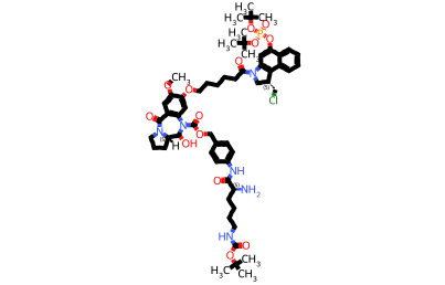 COc1cc2c(cc1OCCCCCC(=O)N1C[C@@H](CCl)c3c1cc(OP(=O)(OC(C)(C)C)OC(C)(C)C)c1ccccc31)N(C(=O)OCc1ccc(NC(=O)[C@@H](N)CCCCNC(=O)OC(C)(C)C)cc1)C(O)[C@@H]1CCCN1C2=O